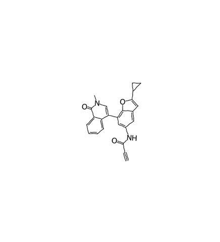 C#CC(=O)Nc1cc(-c2cn(C)c(=O)c3ccccc23)c2oc(C3CC3)cc2c1